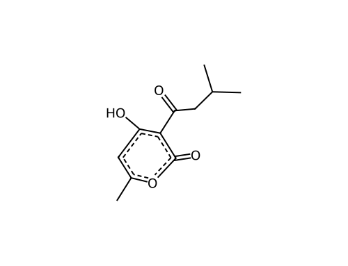 Cc1cc(O)c(C(=O)CC(C)C)c(=O)o1